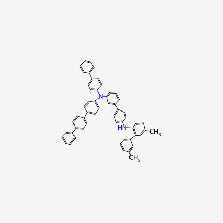 Cc1cccc(-c2cc(C)ccc2Nc2ccc(-c3cccc(N(c4ccc(-c5ccccc5)cc4)c4ccc(-c5ccc(-c6ccccc6)cc5)cc4)c3)cc2)c1